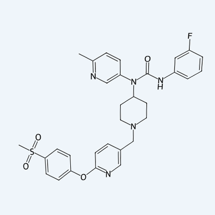 Cc1ccc(N(C(=O)Nc2cccc(F)c2)C2CCN(Cc3ccc(Oc4ccc(S(C)(=O)=O)cc4)nc3)CC2)cn1